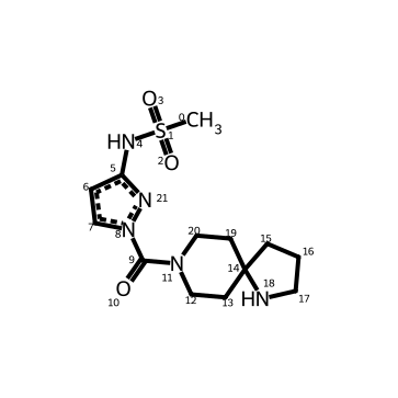 CS(=O)(=O)Nc1ccn(C(=O)N2CCC3(CCCN3)CC2)n1